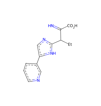 CCC(C(=N)C(=O)O)c1ncc(-c2cccnc2)[nH]1